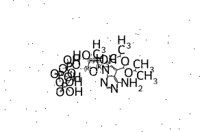 CC(C)OC(OC(C)C)c1cn([C@@H]2O[C@H](COP(=O)(O)OP(=O)(O)OP(=O)(O)O)[C@@H](O)[C@@]2(C)O)c2ncnc(N)c12